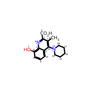 Cc1c(C(=O)O)nc2c(O)cccc2c1N1CCCCC1